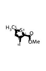 COC(=O)c1sc(C)cc1I